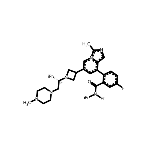 CCN(C(=O)c1cc(F)ccc1-c1cc(C2CN([C@H](CN3CCN(C)CC3)C(C)C)C2)cn2c(C)ncc12)C(C)C